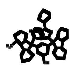 Cc1cccc2c1-c1ccccc1C2(c1ccccc1)c1cc(C(C)(C)C)cc(C2(c3cn(C)c(-c4ccccc4)n3)c3ccccc3-c3ccccc32)n1